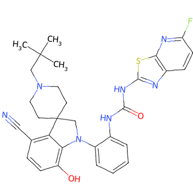 CC(C)(C)CN1CCC2(CC1)CN(c1ccccc1NC(=O)Nc1nc3ccc(F)nc3s1)c1c(O)ccc(C#N)c12